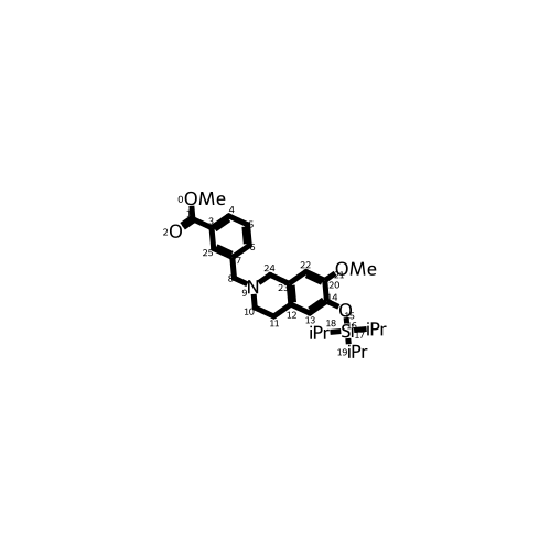 COC(=O)c1cccc(CN2CCc3cc(O[Si](C(C)C)(C(C)C)C(C)C)c(OC)cc3C2)c1